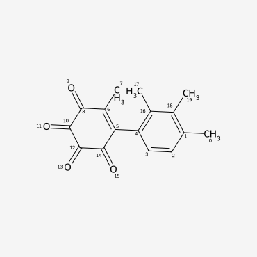 Cc1ccc(-c2c(C)c(=O)c(=O)c(=O)c2=O)c(C)c1C